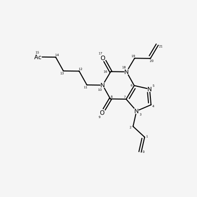 C=CCn1cnc2c1c(=O)n(CCCCC(C)=O)c(=O)n2CC=C